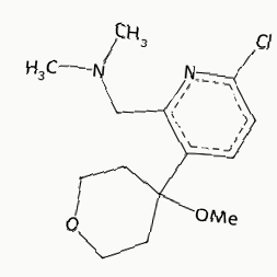 COC1(c2ccc(Cl)nc2CN(C)C)CCOCC1